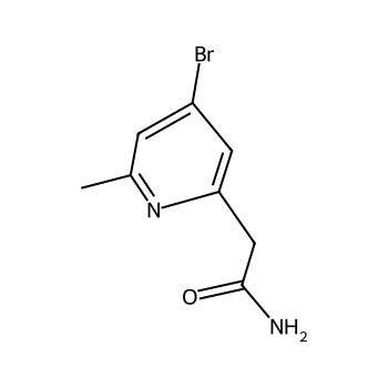 Cc1cc(Br)cc(CC(N)=O)n1